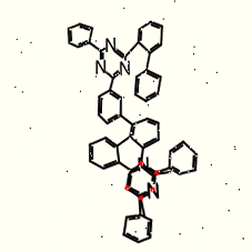 Cc1ccc(-c2cccc(-c3cccc(-c4nc(-c5ccccc5)nc(-c5ccccc5-c5ccccc5)n4)c3)c2-c2ccccc2-c2cc(-c3ccccc3)nc(-c3ccccc3)n2)c(C)n1